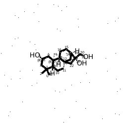 CC1(C)C[C@@H](O)C[C@]2(C)[C@@H]1CC[C@@]13C[C@@H](CC[C@H]12)[C@@](O)(CO)C3